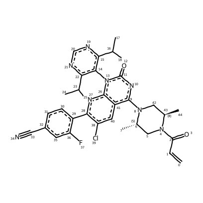 C=CC(=O)N1C[C@H](C)N(c2nc(=O)n(-c3c(C(C)C)ncnc3C(C)C)c3nc(-c4ccc(C#N)cc4F)c(Cl)cc23)C[C@H]1C